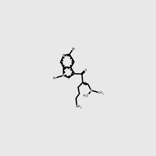 CC(C)n1cc(C(=O)/C(=C/N(C)C)CCCN)c2cc(Br)ncc21